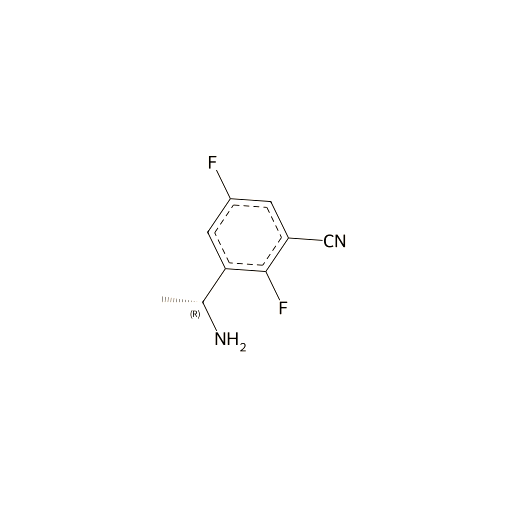 C[C@@H](N)c1cc(F)cc(C#N)c1F